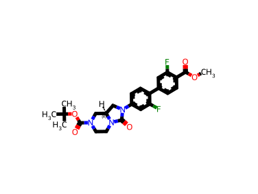 COC(=O)c1ccc(-c2ccc(N3C[C@@H]4CN(C(=O)OC(C)(C)C)CCN4C3=O)cc2F)cc1F